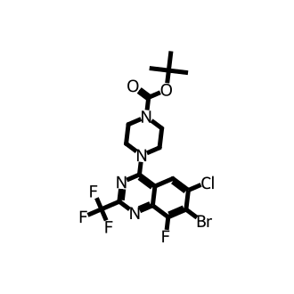 CC(C)(C)OC(=O)N1CCN(c2nc(C(F)(F)F)nc3c(F)c(Br)c(Cl)cc23)CC1